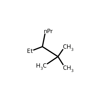 CCCC(CC)C(C)(C)C